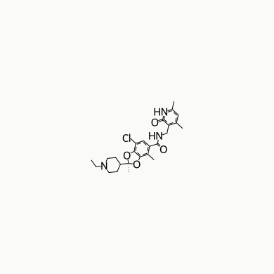 CCN1CCC([C@@]2(C)Oc3c(Cl)cc(C(=O)NCc4c(C)cc(C)[nH]c4=O)c(C)c3O2)CC1